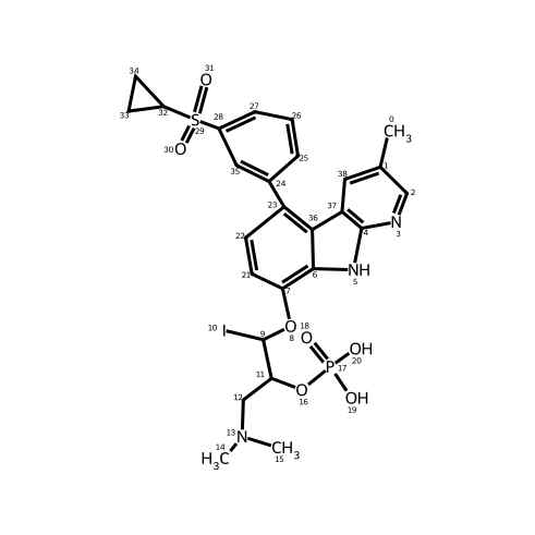 Cc1cnc2[nH]c3c(OC(I)C(CN(C)C)OP(=O)(O)O)ccc(-c4cccc(S(=O)(=O)C5CC5)c4)c3c2c1